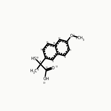 COc1ccc2cc(C(C)(S)C(=O)O)ccc2c1